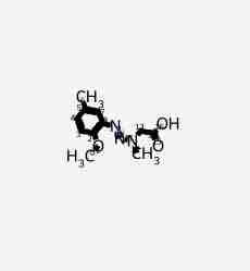 COc1ccc(C)cc1/N=N/N(C)CC(=O)O